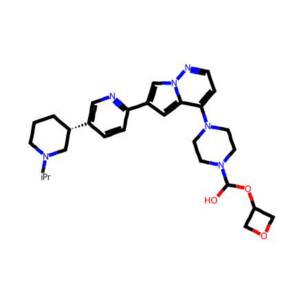 CC(C)N1CCC[C@H](c2ccc(-c3cc4c(N5CCN(C(O)OC6COC6)CC5)ccnn4c3)nc2)C1